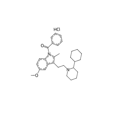 COc1ccc2c(c1)c(CCN1CCCCC1C1CCCCC1)c(C)n2C(=O)c1ccccc1.Cl